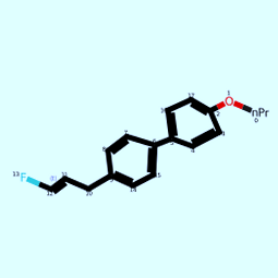 CCCOc1ccc(-c2ccc(C/C=C/F)cc2)cc1